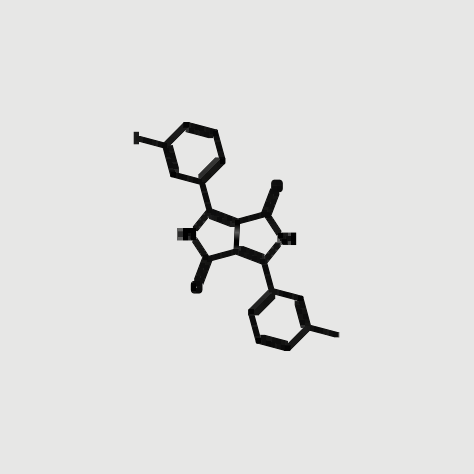 Cc1cccc(C2=C3C(=O)NC(c4cccc(I)c4)=C3C(=O)N2)c1